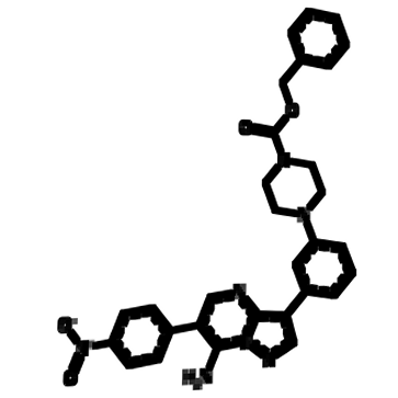 Nc1c(-c2ccc([N+](=O)[O-])cc2)cnc2c(-c3cccc(N4CCN(C(=O)OCc5ccccc5)CC4)c3)cnn12